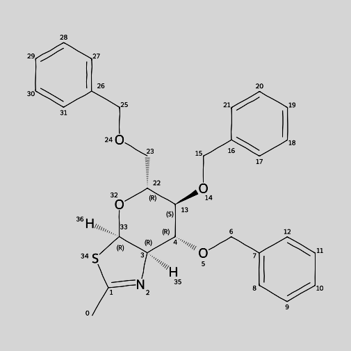 CC1=N[C@@H]2[C@@H](OCc3ccccc3)[C@H](OCc3ccccc3)[C@@H](COCc3ccccc3)O[C@@H]2S1